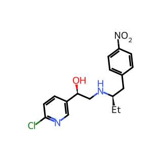 CC[C@H](Cc1ccc([N+](=O)[O-])cc1)NC[C@H](O)c1ccc(Cl)nc1